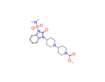 COC(=O)N1CCC(N2CCC(n3c(=O)n(S(=O)(=O)N(C)C)c4ccccc43)CC2)CC1